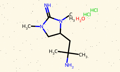 CN1CC(CC(C)(C)N)N(C)C1=N.Cl.Cl.O